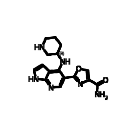 NC(=O)c1coc(-c2cnc3[nH]ccc3c2N[C@@H]2CCCNC2)n1